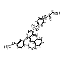 COc1ccc(CCO)c(Nc2nc3ccccc3nc2NS(=O)(=O)c2ccc(NC(=O)CO)cc2)c1